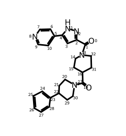 O=C(c1cc(-c2ccncc2)[nH]n1)N1CCC(C(=O)N2CCC(c3ccccc3)CC2)CC1